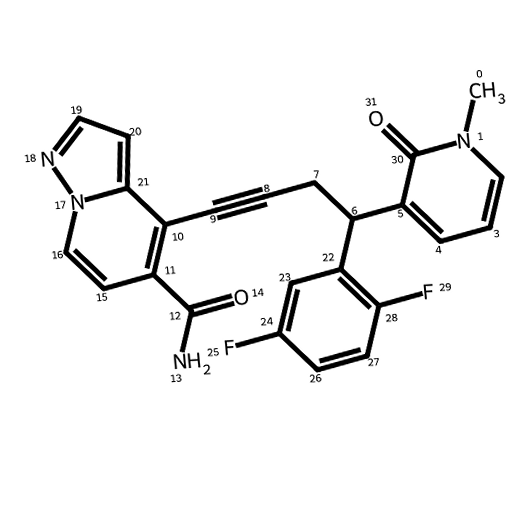 Cn1cccc(C(CC#Cc2c(C(N)=O)ccn3nccc23)c2cc(F)ccc2F)c1=O